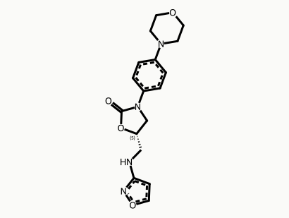 O=C1O[C@@H](CNc2ccon2)CN1c1ccc(N2CCOCC2)cc1